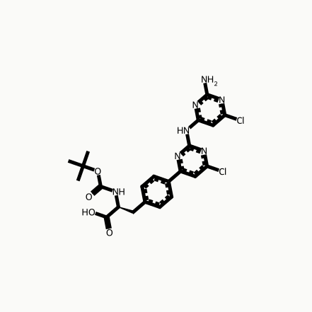 CC(C)(C)OC(=O)N[C@@H](Cc1ccc(-c2cc(Cl)nc(Nc3cc(Cl)nc(N)n3)n2)cc1)C(=O)O